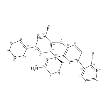 NC1=N[C@@]2(COC1)c1cc(-c3cccnc3F)ccc1Oc1c2cc(C2=CCCOC2)nc1F